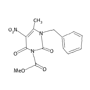 COC(=O)n1c(=O)c([N+](=O)[O-])c(C)n(Cc2ccccc2)c1=O